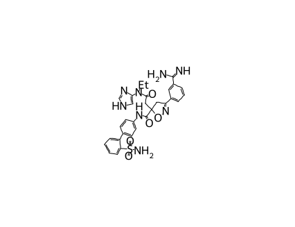 CCN(C(=O)CC1(C(=O)Nc2ccc(-c3ccccc3S(N)(=O)=O)cc2)CC(c2cccc(C(=N)N)c2)=NO1)c1c[nH]cn1